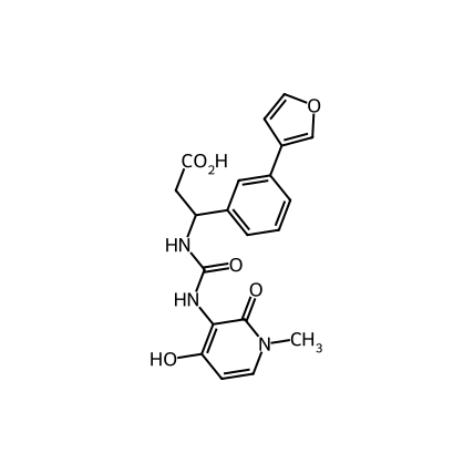 Cn1ccc(O)c(NC(=O)NC(CC(=O)O)c2cccc(-c3ccoc3)c2)c1=O